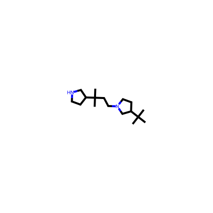 CC(C)(C)C1CCN(CCC(C)(C)C2CCNC2)C1